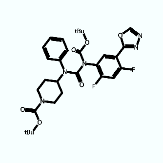 CC(C)(C)OC(=O)N1CCC(N(C(=O)N(C(=O)OC(C)(C)C)c2cc(-c3nnco3)c(F)cc2F)c2ccccc2)CC1